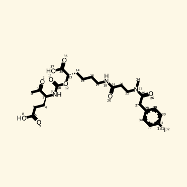 CC(=O)[C@H](CCC(=O)O)NC(=O)O[C@@H](CCCCNC(=O)CCN(C)C(=O)Cc1ccc([131I])cc1)C(=O)O